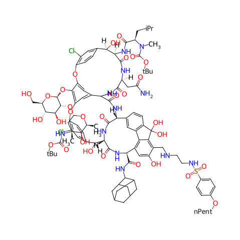 CCCCCOc1ccc(S(=O)(=O)NCCNCc2c(O)cc3c4c2C(O)(O)c2ccc(cc2-4)[C@H]2NC(=O)[C@@H]4NC(=O)[C@H](CC(N)=O)NC(=O)[C@H](NC(=O)[C@@H](CC(C)C)N(C)C(=O)OC(C)(C)C)[C@H](O)c5ccc(c(Cl)c5)Oc5cc4cc(c5O[C@@H]4O[C@H](CO)[C@@H](O)[C@H](O)[C@H]4O[C@H]4C[C@@](C)(NC(=O)OC(C)(C)C)[C@H](O)[C@H](C)O4)Oc4ccc(cc4Cl)[C@@H](O)[C@H](NC2=O)C(=O)N[C@@H]3C(=O)NC2C3CC4CC(C3)CC2C4)cc1